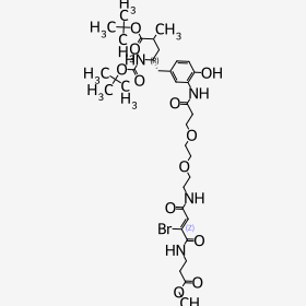 COC(=O)CCNC(=O)/C(Br)=C/C(=O)NCCOCCOCCC(=O)Nc1cc(C[C@@H](CC(C)C(=O)OC(C)(C)C)NC(=O)OC(C)(C)C)ccc1O